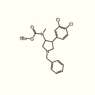 CN(C(=O)OC(C)(C)C)C1CN(Cc2ccccc2)CC1c1ccc(Cl)c(Cl)c1